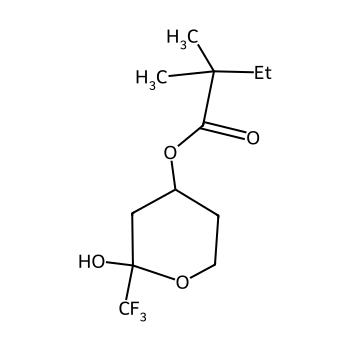 CCC(C)(C)C(=O)OC1CCOC(O)(C(F)(F)F)C1